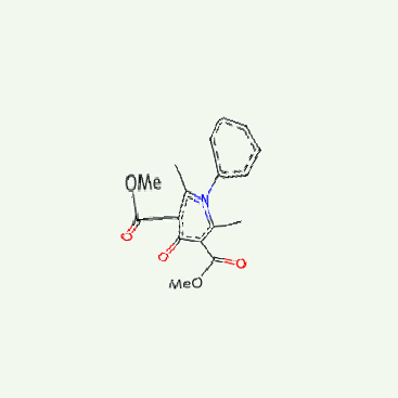 COC(=O)c1c(C)n(-c2ccccc2)c(C)c(C(=O)OC)c1=O